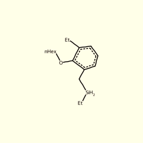 CCCCCCOc1c(CC)cccc1C[SiH2]CC